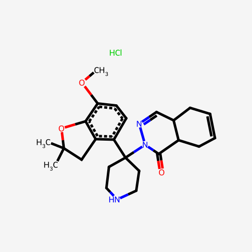 COc1ccc(C2(N3N=CC4CC=CCC4C3=O)CCNCC2)c2c1OC(C)(C)C2.Cl